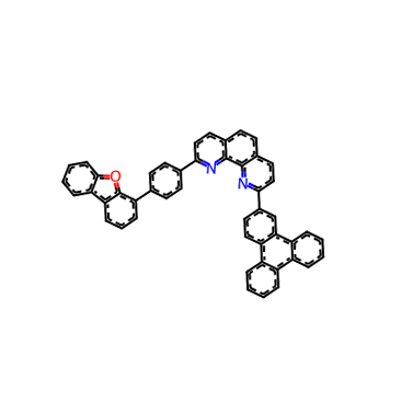 c1ccc2c(c1)oc1c(-c3ccc(-c4ccc5ccc6ccc(-c7ccc8c9ccccc9c9ccccc9c8c7)nc6c5n4)cc3)cccc12